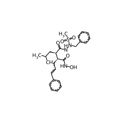 CC(C)C[C@@H](C(=O)NN(Cc1ccccc1)S(C)(=O)=O)[C@H](C/C=C/c1ccccc1)C(=O)NO